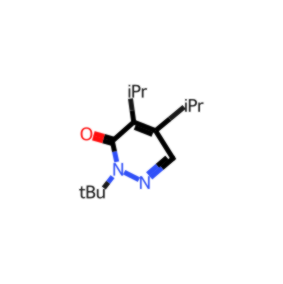 CC(C)c1cnn(C(C)(C)C)c(=O)c1C(C)C